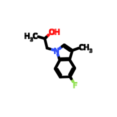 Cc1cn(CC(C)O)c2ccc(F)cc12